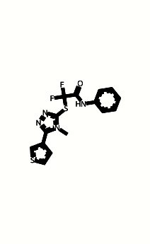 Cn1c(SC(F)(F)C(=O)Nc2ccccc2)nnc1-c1ccsc1